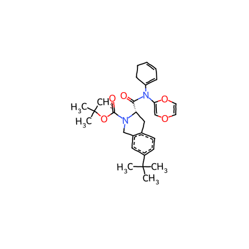 CC(C)(C)OC(=O)N1Cc2cc(C(C)(C)C)ccc2C[C@H]1C(=O)N(C1=CC=CCC1)C1=COC=CO1